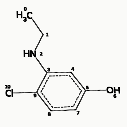 CCNc1cc(O)ccc1Cl